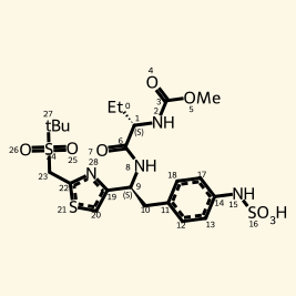 CC[C@H](NC(=O)OC)C(=O)N[C@@H](Cc1ccc(NS(=O)(=O)O)cc1)c1csc(CS(=O)(=O)C(C)(C)C)n1